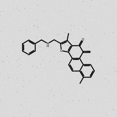 C=C1C(=O)c2c(oc(CNCc3ccccc3)c2C)-c2ccc3c(C)cccc3c21